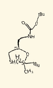 CC(C)(C)OC(=O)NC[C@H](CS)O[Si](C)(C)C(C)(C)C